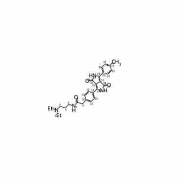 CCN(CC)CCCNC(=O)Cc1ccc(C2=C3C(=O)NC(c4ccc(C)cc4)=C3C(=O)N2)cc1